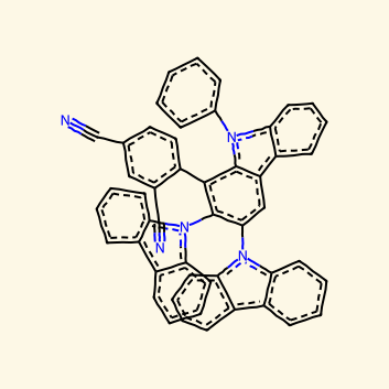 N#Cc1ccc(-c2c(-n3c4ccccc4c4ccccc43)c(-n3c4ccccc4c4ccccc43)cc3c4ccccc4n(-c4ccccc4)c23)c(C#N)c1